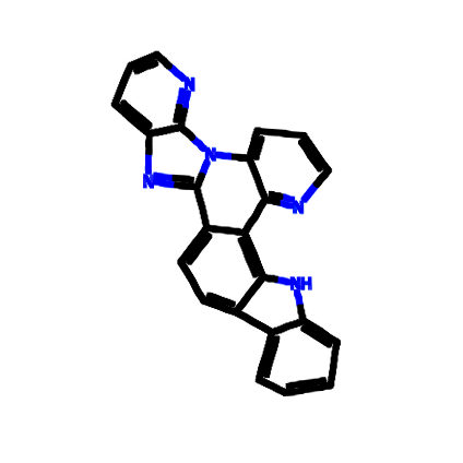 c1cnc2c(c1)nc1c3ccc4c5ccccc5[nH]c4c3c3ncccc3n21